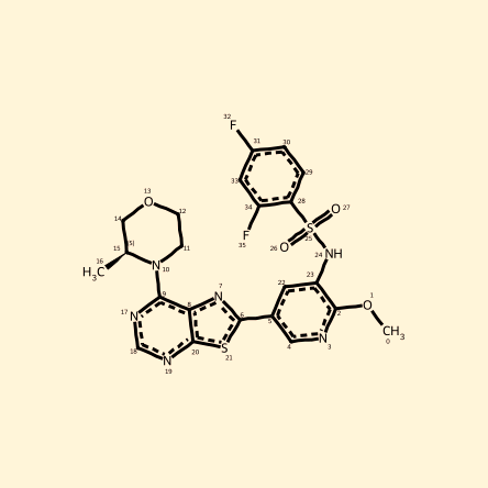 COc1ncc(-c2nc3c(N4CCOC[C@@H]4C)ncnc3s2)cc1NS(=O)(=O)c1ccc(F)cc1F